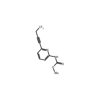 CC(C)(C)OC(=O)Nc1cccc(C#CCC(F)(F)F)n1